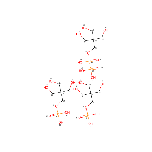 O=P(O)(O)OCC(CO)(CO)CO.O=P(O)(O)OCC(CO)(CO)CO.O=P(O)(O)P(=O)(O)OCC(CO)(CO)CO